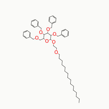 CCCCCCCCCCCCCCCCOCCOC1OC(COCc2ccccc2)C(OCc2ccccc2)C(OCc2ccccc2)C1OCc1ccccc1